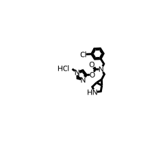 Cl.Cn1cnc(OC(=O)N(Cc2cccc(Cl)c2)CC2C3CNCC32)c1